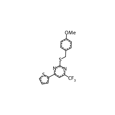 COc1ccc(CSc2nc(-c3cccs3)cc(C(F)(F)F)n2)cc1